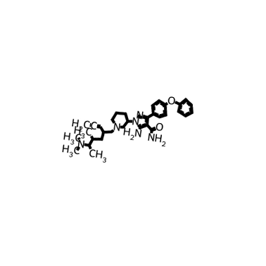 C=C=CC(CC(C)C(C)N(C)C)CN1CCCC(n2nc(-c3ccc(Oc4ccccc4)cc3)c(C(N)=O)c2N)C1